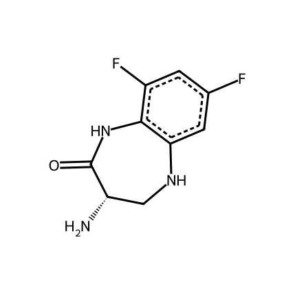 N[C@H]1CNc2cc(F)cc(F)c2NC1=O